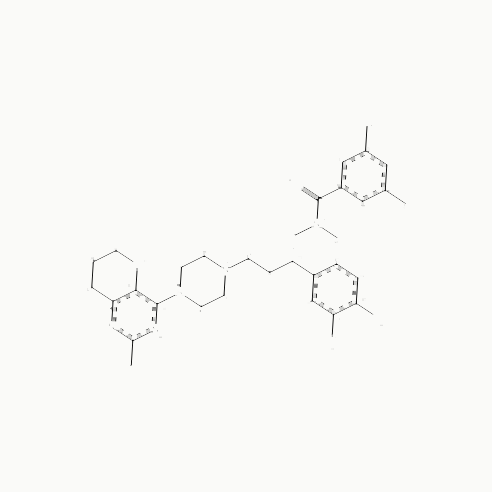 Cc1cc(C)cc(C(=O)N(C)C[C@@H](CCN2CCN(c3nc(C)nc4c3SCCC4)CC2)c2ccc(Cl)c(Cl)c2)c1